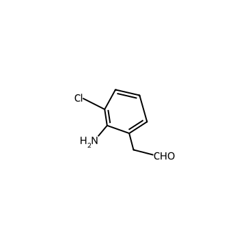 Nc1c(Cl)cccc1CC=O